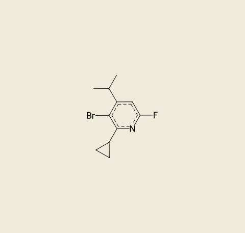 CC(C)c1cc(F)nc(C2CC2)c1Br